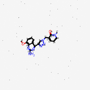 COc1cccc2c(-c3cn(Cc4cccn(C)c4=O)nn3)nc(N)nc12